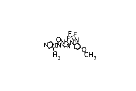 CCOc1ccc2c(c1)nc(C(F)(F)F)n2-c1cnc(NC(=O)c2ccncc2C)cn1